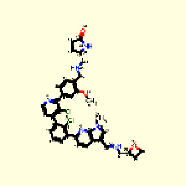 COc1cc(-c2nccc(-c3cccc(-c4ccc5c(CNC[C@@H]6CCO6)cn(C)c5n4)c3Cl)c2Cl)ccc1CNC[C@@H]1CCC(=O)N1